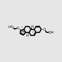 C[C@]12CC[C@H]3[C@@H](CC=C4C[C@@H](OCO)C=C[C@@]43C)[C@@H]1C=C[C@@H]2OCO